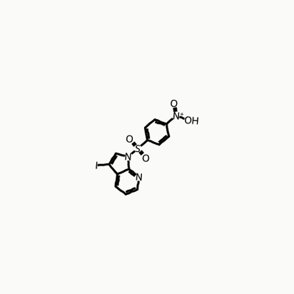 O=[N+](O)c1ccc(S(=O)(=O)n2cc(I)c3cccnc32)cc1